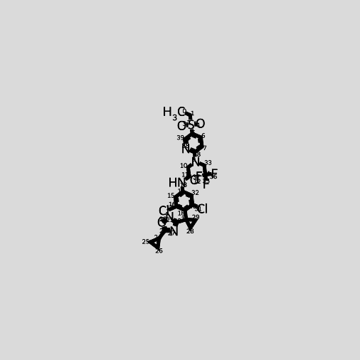 CCS(=O)(=O)c1ccc(N(CC(=O)Nc2cc(Cl)c(C3(c4noc(C5CC5)n4)CC3)c(Cl)c2)CC(F)(F)F)nc1